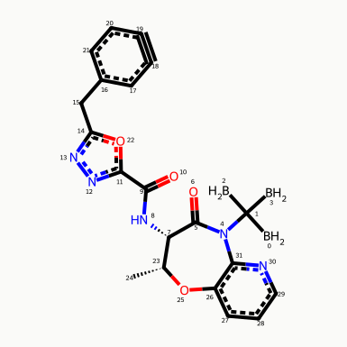 BC(B)(B)N1C(=O)[C@@H](NC(=O)c2nnc(Cc3cc#ccc3)o2)[C@@H](C)Oc2cccnc21